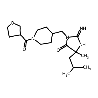 CC(C)CC1(C)NC(=N)N(CC2CCN(C(=O)C3CCOC3)CC2)C1=O